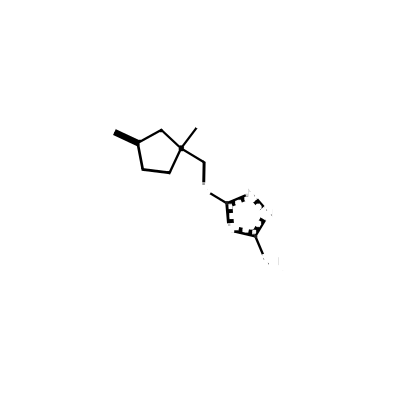 C=C1CCC(C)(COc2nnc(N)s2)C1